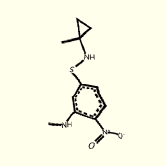 CNc1cc(SNC2(C)CC2)ccc1[N+](=O)[O-]